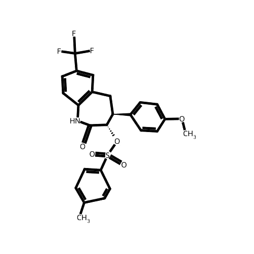 COc1ccc([C@@H]2Cc3cc(C(F)(F)F)ccc3NC(=O)[C@H]2OS(=O)(=O)c2ccc(C)cc2)cc1